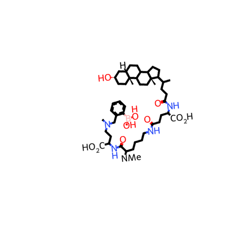 CNC(CCCCNC(=O)CCC(NC(=O)CCC(C)C1CCC2C3CC[C@H]4C[C@@H](O)CC[C@@]4(C)C3CC[C@@]12C)C(=O)O)C(=O)NC(CCN(C)Cc1ccccc1B(O)O)C(=O)O